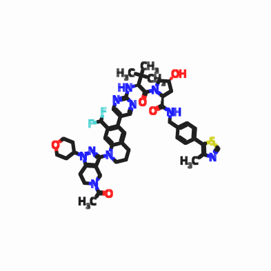 CC(=O)N1CCc2c(c(N3CCCc4cc(-c5cnc(N[C@H](C(=O)N6C[C@H](O)C[C@H]6C(=O)NCc6ccc(-c7scnc7C)cc6)C(C)(C)C)nc5)c(C(F)F)cc43)nn2C2CCOCC2)C1